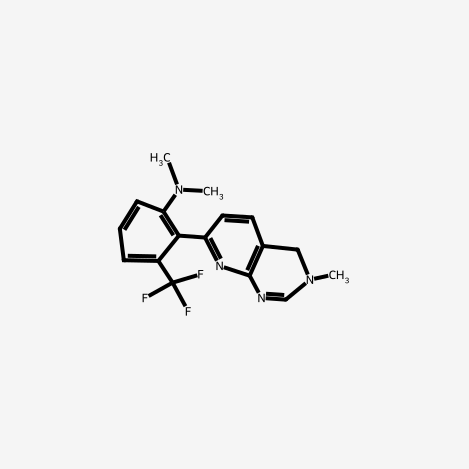 CN1C=Nc2nc(-c3c(N(C)C)cccc3C(F)(F)F)ccc2C1